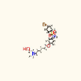 CCN(CCO)CCCCCCOc1ccc(N(C)S(=O)(=O)c2ccc(Br)cc2)cc1